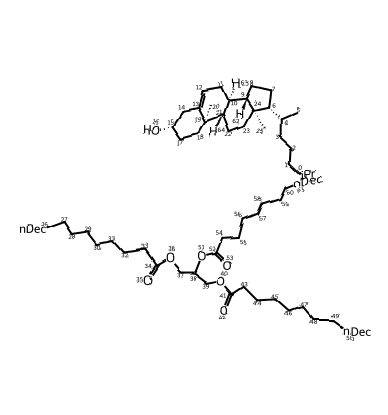 CC(C)CCCC(C)[C@H]1CC[C@H]2[C@@H]3CC=C4C[C@@H](O)CC[C@]4(C)[C@H]3CC[C@]12C.CCCCCCCCCCCCCCCCCC(=O)OCC(COC(=O)CCCCCCCCCCCCCCCCC)OC(=O)CCCCCCCCCCCCCCCCC